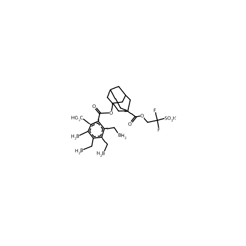 BCc1c(B)c(C(=O)O)c(C(=O)OC23CC4CC(C2)CC(C(=O)OCC(F)(F)S(=O)(=O)O)(C4)C3)c(CB)c1CB